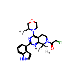 CC1COCCN1c1nc(-c2cccc3[nH]ccc23)nc2c1CCN(C(=O)CCl)C2(C)C